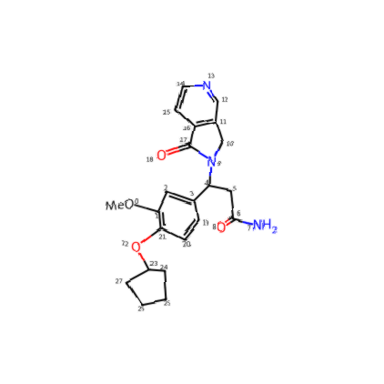 COc1cc(C(CC(N)=O)N2Cc3cnccc3C2=O)ccc1OC1CCCC1